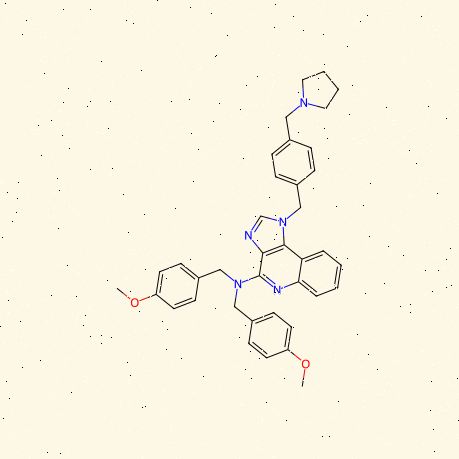 COc1ccc(CN(Cc2ccc(OC)cc2)c2nc3ccccc3c3c2ncn3Cc2ccc(CN3CCCC3)cc2)cc1